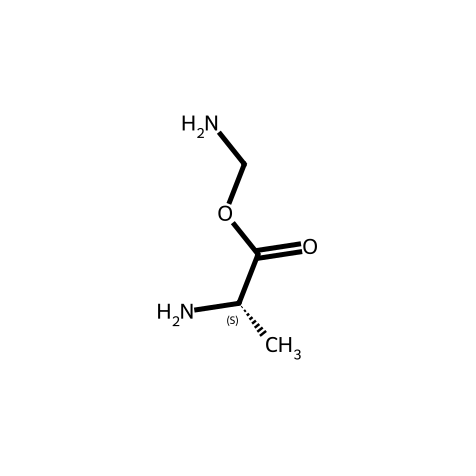 C[C@H](N)C(=O)OCN